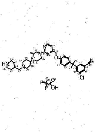 CC(C)(c1ccc(OCc2ccnc(N3CCN(C4CCN(CC5CCNCC5)CC4)CC3)n2)cc1)c1cc(Cl)cc(C#N)c1.O=C(O)C(F)(F)F